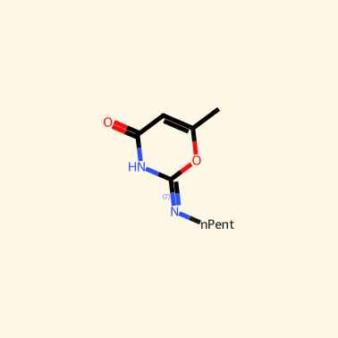 CCCCC/N=c1/[nH]c(=O)cc(C)o1